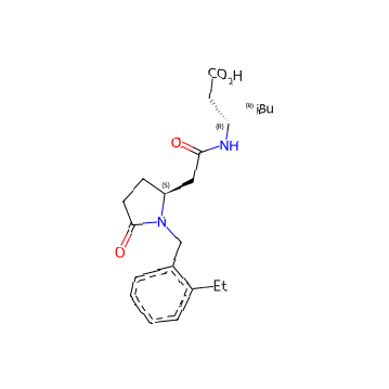 CCc1ccccc1CN1C(=O)CC[C@H]1CC(=O)N[C@H](CC(=O)O)[C@H](C)CC